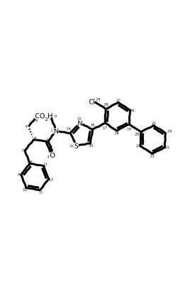 CN(C(=O)[C@@H](CC(=O)O)Cc1ccccc1)c1nc(-c2cc(-c3ccccc3)ccc2Cl)cs1